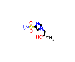 C[C@H](O)Cn1cnc(S(N)(=O)=O)c1